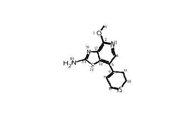 COc1ncc(C2=CCSCC2)c2sc(N)nc12